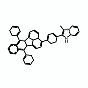 CC1=C(C2=CC=C(C3=CC=C4C5C(=CC=CC35)C3C(C5=CC=CCC5)=c5ccccc5=C(C5=CC=CCC5)C43)CC2)NC2C=CC=CN12